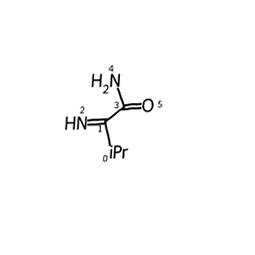 CC(C)C(=N)C(N)=O